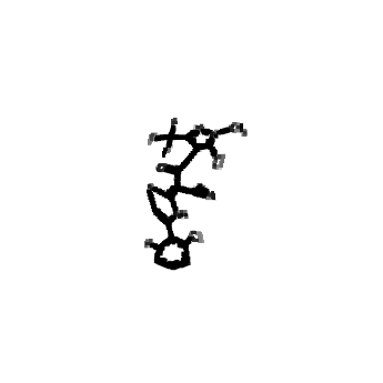 Cn1nc(C(F)(F)F)c(C(=O)C(C#N)=C2NC(c3c(F)cccc3Cl)=CS2)c1Cl